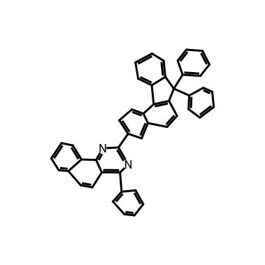 c1ccc(-c2nc(-c3ccc4c5c(ccc4c3)C(c3ccccc3)(c3ccccc3)c3ccccc3-5)nc3c2ccc2ccccc23)cc1